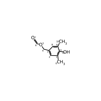 Cc1cc(COC=O)cc(C)c1O